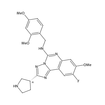 COc1ccc(CNc2nc3cc(OC)c(F)cc3c3nc([C@@H]4CCNC4)nn23)c(OC)c1